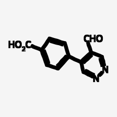 O=Cc1cnncc1-c1ccc(C(=O)O)cc1